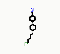 N#Cc1ccc([C@H]2CC[C@H](CCCC=CF)CC2)cc1